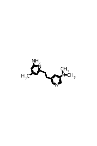 Cc1cc(N)nc(CCc2cncc(N(C)C)c2)c1